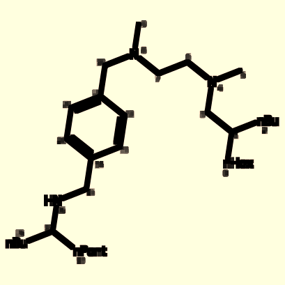 CCCCCCC(CCCC)CN(C)CCN(C)Cc1ccc(CNC(CCCC)CCCCC)cc1